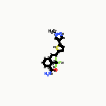 Cn1cc(-c2ccc(CCc3cccc(C(N)=O)c3C(F)(F)F)s2)cn1